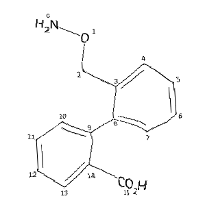 NOCc1ccccc1-c1ccccc1C(=O)O